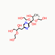 C[C@H](O)[C@H](OCCO)C(O)(OCCO)c1cnc(C[C@H](O)[C@H](CO)OCCO)cn1